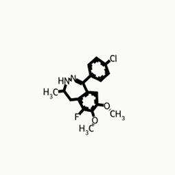 COc1cc2c(c(F)c1OC)CC(C)NN=C2c1ccc(Cl)cc1